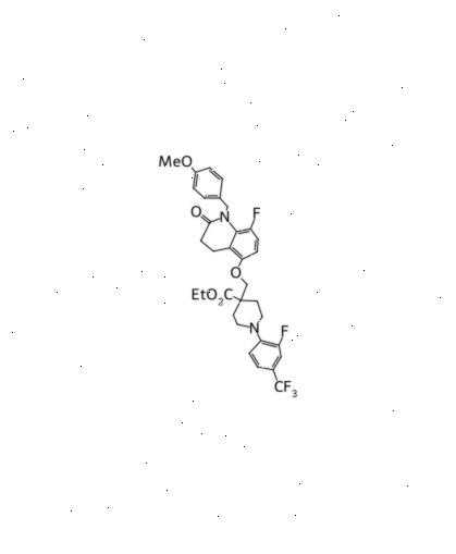 CCOC(=O)C1(COc2ccc(F)c3c2CCC(=O)N3Cc2ccc(OC)cc2)CCN(c2ccc(C(F)(F)F)cc2F)CC1